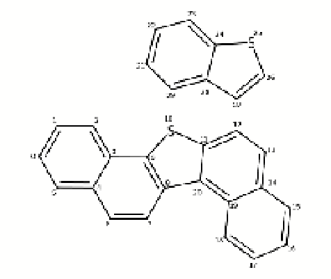 c1ccc2c(c1)ccc1c2sc2ccc3ccccc3c21.c1ccc2sccc2c1